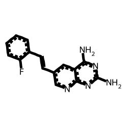 Nc1nc(N)c2cc(C=Cc3ccccc3F)cnc2n1